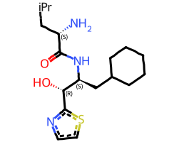 CC(C)C[C@H](N)C(=O)N[C@@H](CC1CCCCC1)[C@@H](O)c1nccs1